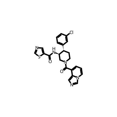 O=C(N[C@@H]1CN(C(=O)c2cccn3cncc23)CC[C@H]1c1cccc(Cl)c1)c1cncs1